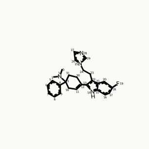 CN(C)C1(c2ccccc2)CC=C(c2[nH]c3ccc(F)cc3c2CCn2ccnc2)CC1